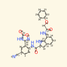 N#Cc1ccc(NC(=O)c2cc3cccc(NC(=O)COc4ccccc4)c3[nH]2)c(-c2noc(=O)[nH]2)c1